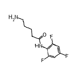 NCCCCC(=O)Nc1c(F)cc(F)cc1F